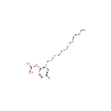 CCCCCCCCCCCCc1cc(C)ccc1OB(O)O